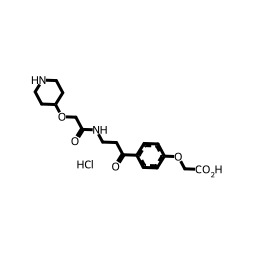 Cl.O=C(O)COc1ccc(C(=O)CCNC(=O)COC2CCNCC2)cc1